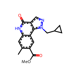 COC(=O)c1cc2c(cc1C)[nH]c(=O)c1cnn(CC3CC3)c12